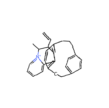 C=CC1c2c3ccc(c2-c2cccc[n+]2C1C)CCc1ccc(cc1)CC3